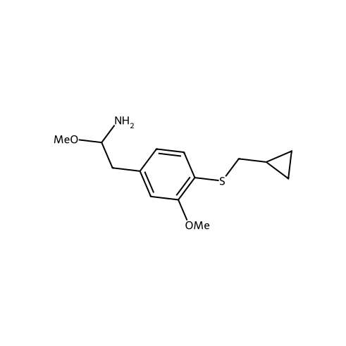 COc1cc(CC(N)OC)ccc1SCC1CC1